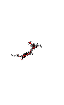 CC[C@H](C)[C@@H]([C@@H](CC(=O)N1CCC[C@H]1[C@H](OC)[C@@H](C)C(=O)N[C@@H](Cc1ccccc1)C(=O)OCCCCCOCCOC)OC)N(C)C(=O)[C@@H](NC(=O)[C@H](C(C)C)N(C)C(=O)OCc1ccc(NC(=O)[C@H](CCCNC(N)=O)NC(=O)[C@@H](NC(=O)CCCCCN2C(=O)C=CC2=O)C(C)C)cc1)C(C)C